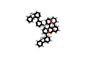 c1cc(-c2cccc3sc4ccccc4c23)cc(N(c2ccc(-c3cccc4c3oc3ccccc34)cc2)c2ccccc2-c2cccc3cccc(C4CCCCC4)c23)c1